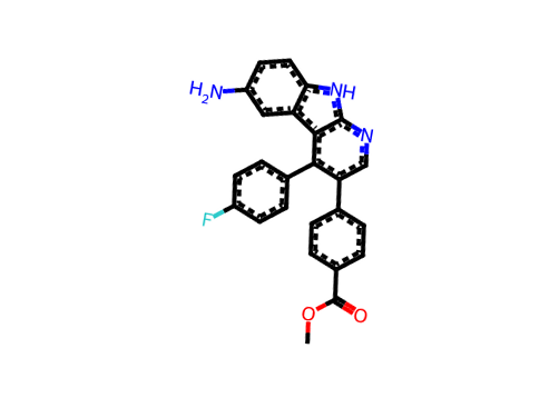 COC(=O)c1ccc(-c2cnc3[nH]c4ccc(N)cc4c3c2-c2ccc(F)cc2)cc1